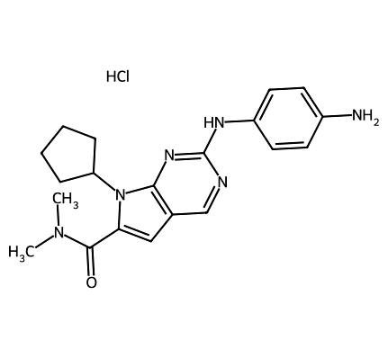 CN(C)C(=O)c1cc2cnc(Nc3ccc(N)cc3)nc2n1C1CCCC1.Cl